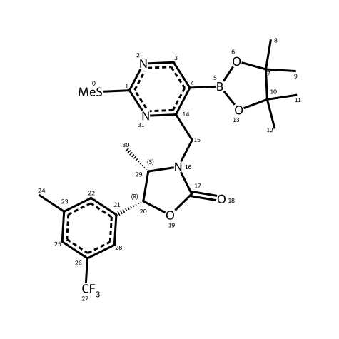 CSc1ncc(B2OC(C)(C)C(C)(C)O2)c(CN2C(=O)O[C@H](c3cc(C)cc(C(F)(F)F)c3)[C@@H]2C)n1